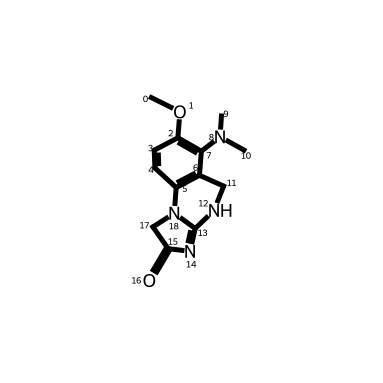 COc1ccc2c(c1N(C)C)CNC1=NC(=O)CN12